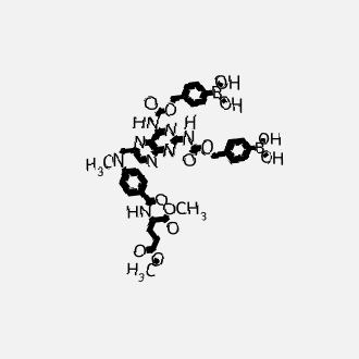 COC(=O)CCC(NC(=O)c1ccc(N(C)Cc2cnc3nc(NC(=O)OCc4ccc(B(O)O)cc4)nc(NC(=O)OCc4ccc(B(O)O)cc4)c3n2)cc1)C(=O)OC